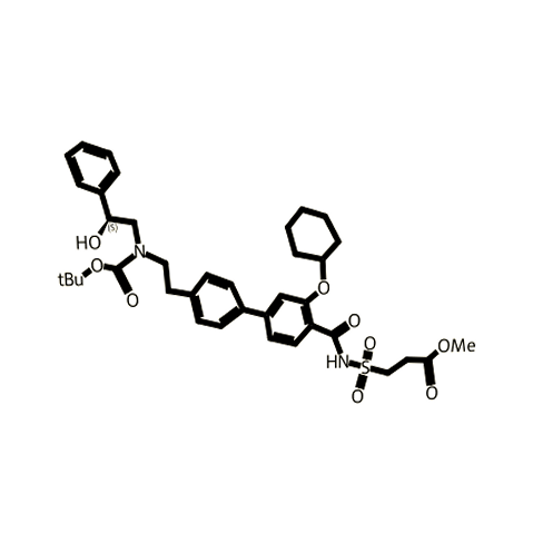 COC(=O)CCS(=O)(=O)NC(=O)c1ccc(-c2ccc(CCN(C[C@@H](O)c3ccccc3)C(=O)OC(C)(C)C)cc2)cc1OC1CCCCC1